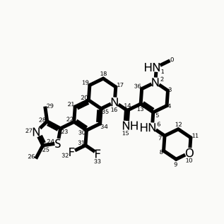 CNN1CCC(NC2CCOCC2)=C(C(=N)N2CCCc3cc(-c4sc(C)nc4C)c(C(F)F)cc32)C1